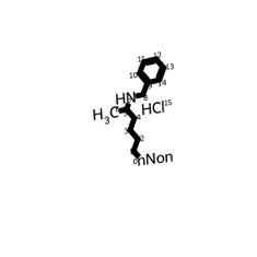 CCCCCCCCCCCCCC(C)NCc1ccccc1.Cl